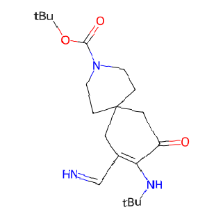 CC(C)(C)NC1=C(C=N)CC2(CCN(C(=O)OC(C)(C)C)CC2)CC1=O